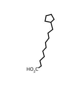 O=C(O)CCCCCCCCCC1CCCC1